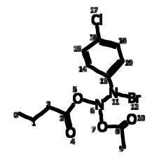 CCCC(=O)ON(OC(C)=O)N(Br)c1ccc(Cl)cc1